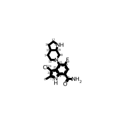 Cc1[nH]c2c(C(N)=O)cc(F)c(N3CCC4CCNC4C3)c2c1Cl